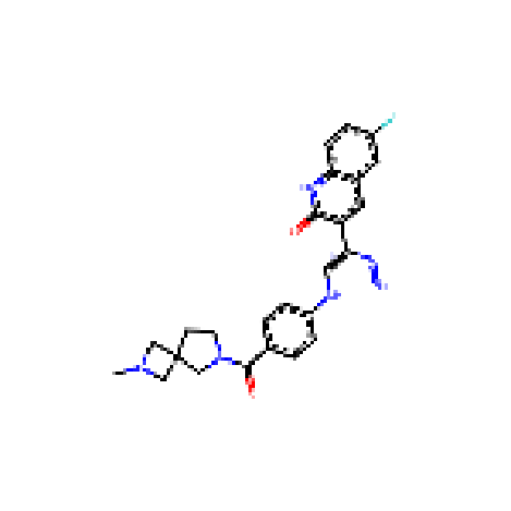 CN1CC2(CCN(C(=O)c3ccc(N/C=C(\N=N)c4cc5cc(F)ccc5[nH]c4=O)cc3)C2)C1